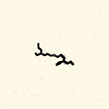 C=C/C=C(C#N)\C=C/COCCCC(CC)CCC